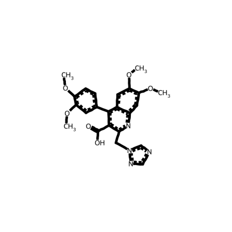 COc1ccc(-c2c(C(=O)O)c(Cn3cncn3)nc3cc(OC)c(OC)cc23)cc1OC